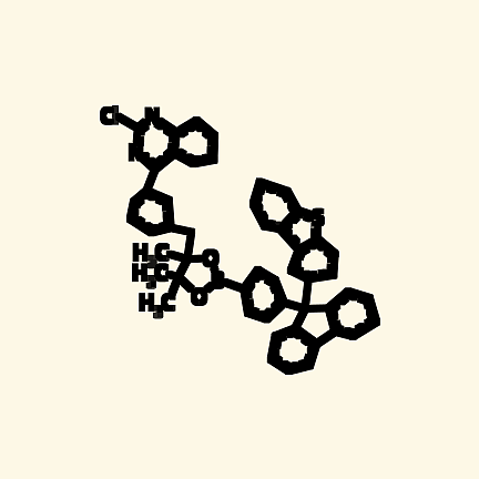 CC1(C)OB(c2ccc(C3(c4ccc5sc6ccccc6c5c4)c4ccccc4-c4ccccc43)cc2)OC1(C)Cc1cccc(-c2nc(Cl)nc3ccccc23)c1